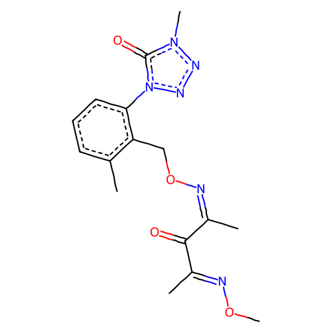 CON=C(C)C(=O)C(C)=NOCc1c(C)cccc1-n1nnn(C)c1=O